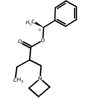 CCC(CN1CCC1)C(=O)O[C@@H](C)c1ccccc1